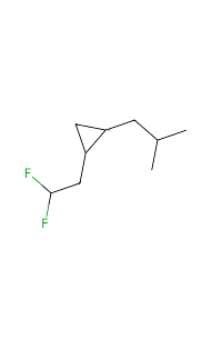 CC(C)C[C]1CC1CC(F)F